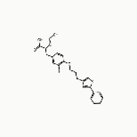 CCOC(Cc1ccc(OCCCc2csc(-c3ccccc3)n2)c(F)c1)C(=O)O